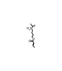 CC=CC(=O)OCCCC[SiH2]C(I)I